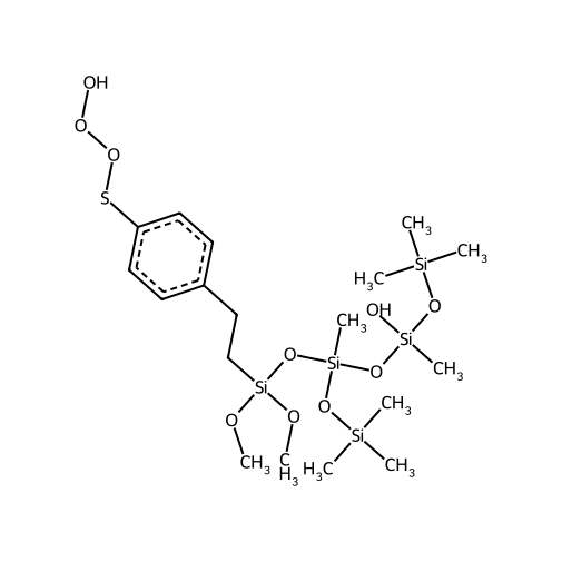 CO[Si](CCc1ccc(SOOO)cc1)(OC)O[Si](C)(O[Si](C)(C)C)O[Si](C)(O)O[Si](C)(C)C